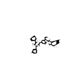 OC1c2ccccc2-c2nccc3c4cc(-c5nc(-c6ccccc6)nc(-c6ccccc6)n5)ccc4n1c23